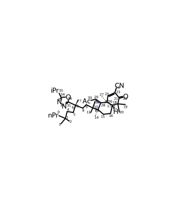 CCCC(C)(C)CC[C@@](C)(CCC(C)(C)[C@]1(C)CC[C@H]2C(C)(C)C(=O)C(C#N)=C[C@]2(C)/C1=C/C(C)=O)c1nnc(C(C)C)o1